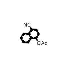 CC(=O)Oc1ccc(C#N)c2ccccc12